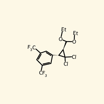 CCOC(OCC)[C@@H]1[C@@H](c2cc(C(F)(F)F)cc(C(F)(F)F)c2)C1(Cl)Cl